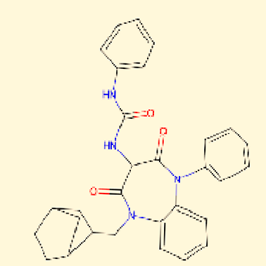 O=C(Nc1ccccc1)NC1C(=O)N(CC2CC3CCC2C3)c2ccccc2N(c2ccccc2)C1=O